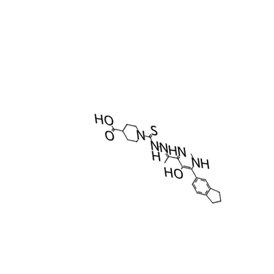 CN/C(=C(/O)C(=N)/C(C)=N/NC(=S)N1CCC(C(=O)O)CC1)c1ccc2c(c1)CCC2